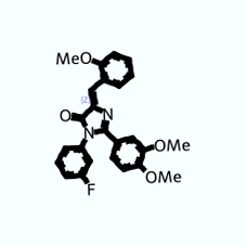 COc1ccccc1/C=C1\N=C(c2ccc(OC)c(OC)c2)N(c2cccc(F)c2)C1=O